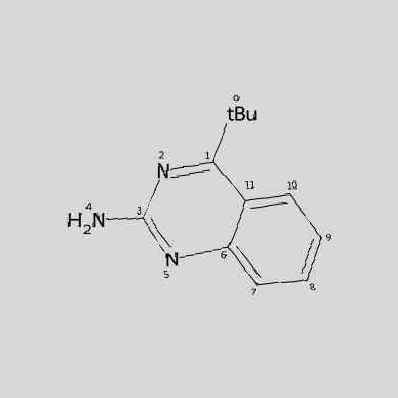 CC(C)(C)c1nc(N)nc2ccccc12